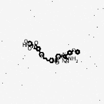 Nc1ncnc2c1c(-c1ccc(Oc3ccccc3)cc1)nn2[C@@H]1CCCN(C(=O)N2CCC(CCCN3CCC(c4ccc5c(c4)CN(C4CCC(=O)NC4=O)C5=O)CC3)CC2)C1